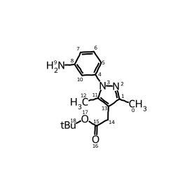 Cc1nn(-c2cccc(N)c2)c(C)c1CC(=O)OC(C)(C)C